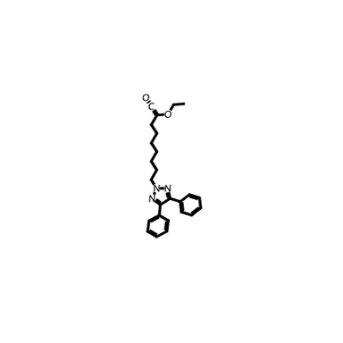 CCOC(=C=O)CCCCCCCn1nc(-c2ccccc2)c(-c2ccccc2)n1